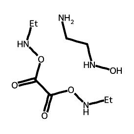 CCNOC(=O)C(=O)ONCC.NCCNO